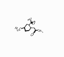 CC(=O)CC1CCC(C)CC1C(=O)O